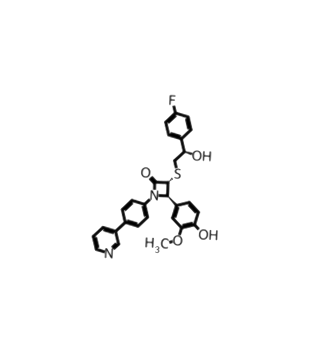 COc1cc([C@@H]2[C@@H](SC[C@H](O)c3ccc(F)cc3)C(=O)N2c2ccc(-c3cccnc3)cc2)ccc1O